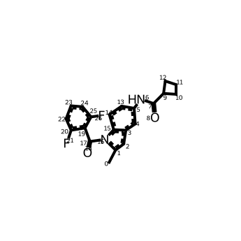 Cc1cc2cc(NC(=O)C3CCC3)ccc2n1C(=O)c1c(F)cccc1F